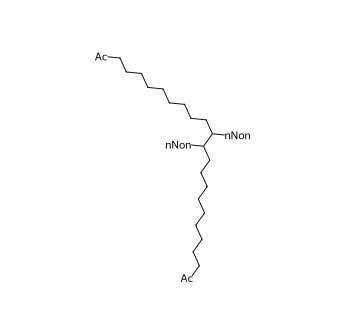 CCCCCCCCCC(CCCCCCCCCC(C)=O)C(CCCCCCCCC)CCCCCCCCCC(C)=O